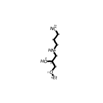 CCOCC(O)CNCCCC#N